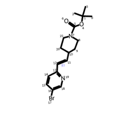 CC(C)(C)OC(=O)N1CCC(/C=C/c2ccc(Br)cn2)CC1